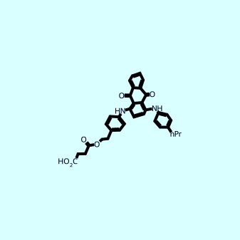 CCCc1ccc(Nc2ccc(Nc3ccc(CCOC(=O)CCC(=O)O)cc3)c3c2C(=O)c2ccccc2C3=O)cc1